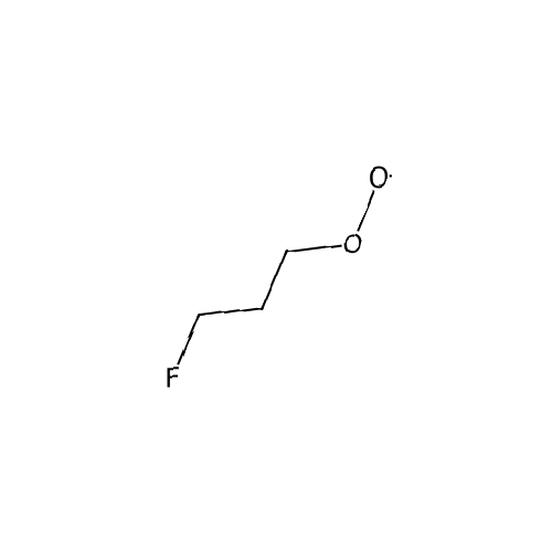 [O]OCCCF